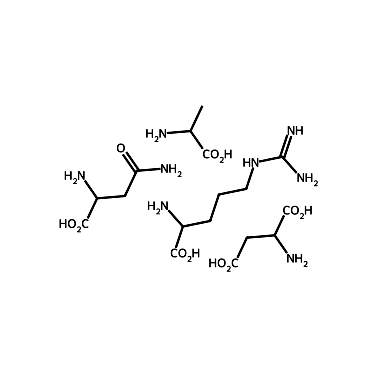 CC(N)C(=O)O.N=C(N)NCCCC(N)C(=O)O.NC(=O)CC(N)C(=O)O.NC(CC(=O)O)C(=O)O